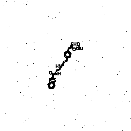 CC(C)(C)ON(C=O)Cc1ccc(CCCNCCNC(=O)c2cc3ccccc3s2)cc1